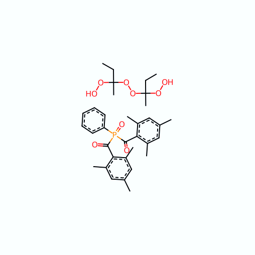 CCC(C)(OO)OOC(C)(CC)OO.Cc1cc(C)c(C(=O)P(=O)(C(=O)c2c(C)cc(C)cc2C)c2ccccc2)c(C)c1